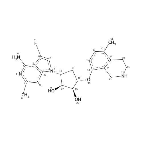 Cc1nc(N)c2c(F)cn([C@@H]3C[C@H](Oc4ccc(C)c5c4CNCC5)[C@@H](O)[C@H]3O)c2n1